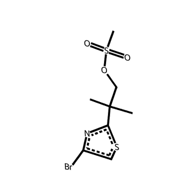 CC(C)(COS(C)(=O)=O)c1nc(Br)cs1